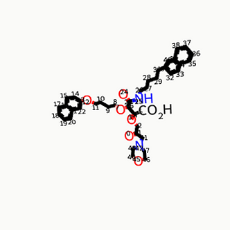 O=C(COC(C(=O)O)C(OCCCCOc1ccc2ccccc2c1)C(=O)NCCCCCc1ccc2ccccc2c1)CN1CCOCC1